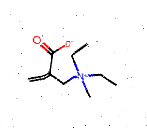 C=C(C[N+](C)(CC)CC)C(=O)[O-]